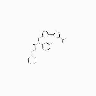 O=C(CCN1CCOCC1)N(Cc1ncc(-c2nnc(C(F)F)o2)s1)c1cncc(F)c1